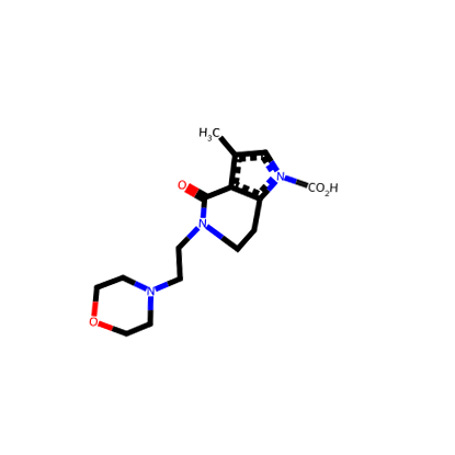 Cc1cn(C(=O)O)c2c1C(=O)N(CCN1CCOCC1)CC2